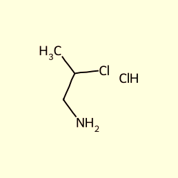 CC(Cl)CN.Cl